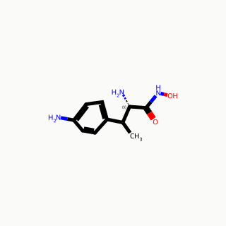 CC(c1ccc(N)cc1)[C@H](N)C(=O)NO